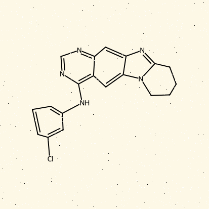 Clc1cccc(Nc2ncnc3cc4nc5n(c4cc23)CCCC5)c1